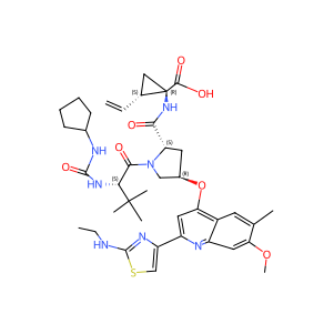 C=C[C@@H]1C[C@]1(NC(=O)[C@@H]1C[C@@H](Oc2cc(-c3csc(NCC)n3)nc3cc(OC)c(C)cc23)CN1C(=O)[C@@H](NC(=O)NC1CCCC1)C(C)(C)C)C(=O)O